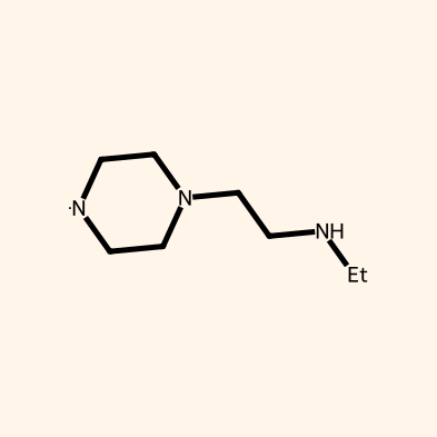 CCNCCN1CC[N]CC1